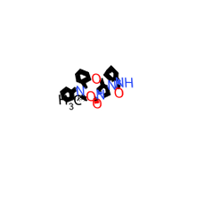 C[C@@H](COC(=O)N1CCC(n2c(=O)[nH]c3ccccc32)C(C=O)C1)N(Cc1ccccc1)Cc1ccccc1